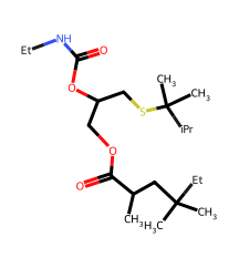 CCNC(=O)OC(COC(=O)C(C)CC(C)(C)CC)CSC(C)(C)C(C)C